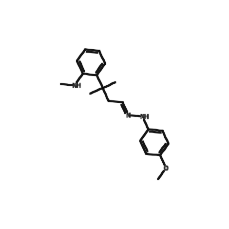 CNc1ccccc1C(C)(C)C/C=N/Nc1ccc(OC)cc1